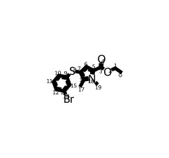 CCOC(=O)c1cc(Sc2cccc(Br)c2)c(C)n1C